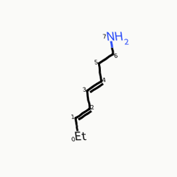 CC/C=C/C=C/CCN